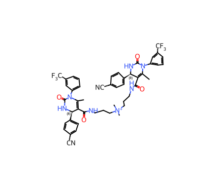 CC1=C(C(=O)NCCC[N+](C)(C)CCCNC(=O)C2=C(C)N(c3cccc(C(F)(F)F)c3)C(=O)N[C@@H]2c2ccc(C#N)cc2)[C@@H](c2ccc(C#N)cc2)NC(=O)N1c1cccc(C(F)(F)F)c1